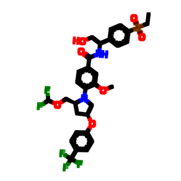 CCS(=O)(=O)c1ccc(C(CO)NC(=O)c2ccc(N3C[C@@H](Oc4ccc(C(F)(F)F)cc4)C[C@H]3COC(F)F)c(OC)c2)cc1